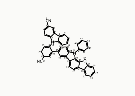 N#Cc1ccc2c(c1)c1ccccc1n2C1=CCC(C#N)C=C1c1ccc2c(c1)c1ccc3c4ccccc4oc3c1n2-c1ccccc1